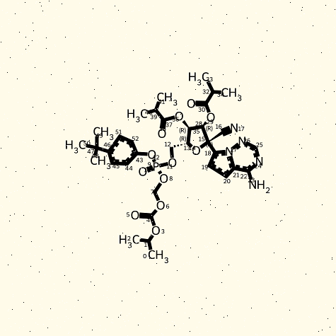 CC(C)OC(=O)OCOP(=O)(OC[C@H]1O[C@@](C#N)(c2ccc3c(N)ncnn23)[C@H](OC(=O)C(C)C)[C@@H]1OC(=O)C(C)C)Oc1ccc(C(C)(C)C)cc1